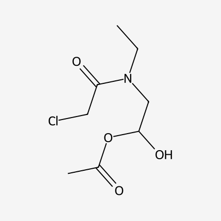 CCN(CC(O)OC(C)=O)C(=O)CCl